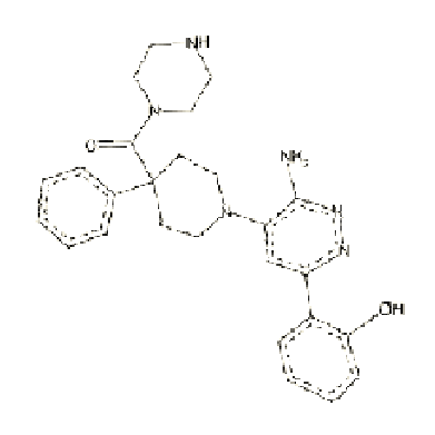 Nc1nnc(-c2ccccc2O)cc1N1CCC(C(=O)N2CCNCC2)(c2ccccc2)CC1